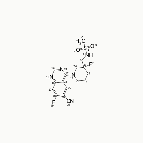 CS(=O)(=O)NCC1(F)CCCN(c2ncnc3cc(F)c(C#N)cc23)C1